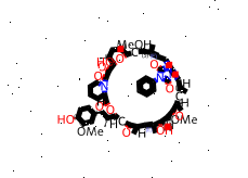 CO[C@H]1C[C@@H]2CC[C@@H](C)[C@@](O)(O2)C(=O)C(=O)N2CCCC[C@H]2C(=O)O[C@H]([C@H](C)C[C@@H]2CC[C@@H](O)[C@H](OC)C2)CC(=O)[C@H](C)/C=C(\C)[C@@H](O)[C@@H](OC)C(=O)[C@H](C)C[C@H](C)C2C=CC(/C=C/1C)n1c(=O)n(-c3ccccc3)c(=O)n12